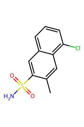 Cc1cc2c(Cl)cccc2cc1S(N)(=O)=O